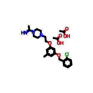 CC(=N)N1CCN(CCOc2cc(C)cc(OCc3ccccc3Cl)c2)CC1.CC(=O)O.CC(=O)O